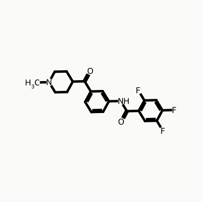 CN1CCC(C(=O)c2cccc(NC(=O)c3cc(F)c(F)cc3F)c2)CC1